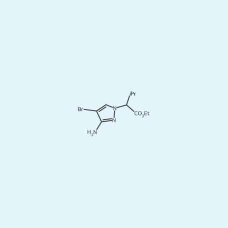 CCOC(=O)C(C(C)C)n1cc(Br)c(N)n1